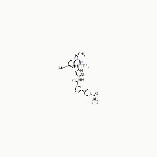 C/N=C(\C=C(/Nc1ccc(NC(=O)c2cccc(-c3ccc(C(=O)N4CCCC4)cc3)c2)nn1)C(F)(F)F)c1ccc(OC)nc1